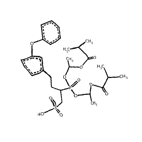 CC(OC(=O)C(C)C)OP(=O)(OC(C)OC(=O)C(C)C)C(CCc1cccc(Oc2ccccc2)c1)CS(=O)(=O)O